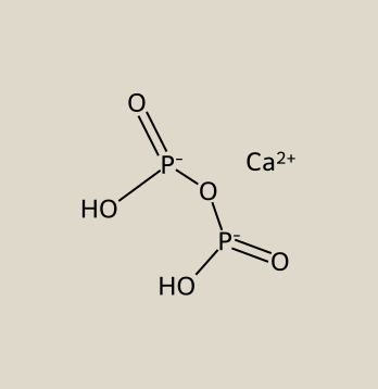 O=[P-](O)O[P-](=O)O.[Ca+2]